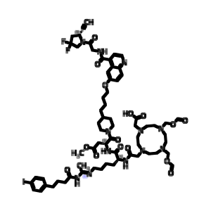 C#C[C@H]1CC(F)(F)CN1C(=O)CNC(=O)c1ccnc2ccc(OCCCCC3CCN(C(=O)[C@H](CC(=O)OC)NC(=O)[C@H](CCCC/N=C(\C)NC(=O)CCCc4ccc(I)cc4)NC(=O)CN4CCN(COC=O)CCN(COC=O)CCN(CC(=O)O)CC4)CC3)cc12